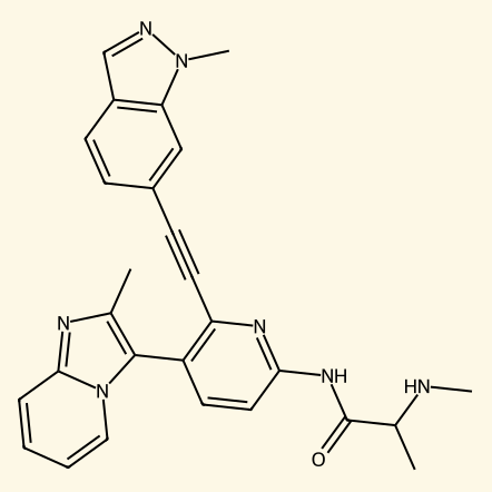 CNC(C)C(=O)Nc1ccc(-c2c(C)nc3ccccn23)c(C#Cc2ccc3cnn(C)c3c2)n1